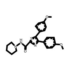 COc1ccc(-c2nc(C(=O)NN3CCCCC3)sc2-c2ccc(OC)cc2)cc1